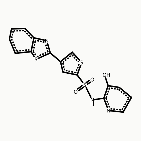 O=S(=O)(Nc1ncccc1O)c1cc(-c2nc3ccccc3s2)cs1